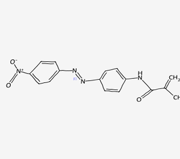 C=C(C)C(=O)Nc1ccc(/N=N/c2ccc([N+](=O)[O-])cc2)cc1